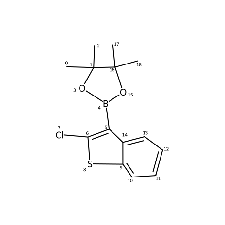 CC1(C)OB(c2c(Cl)sc3ccccc23)OC1(C)C